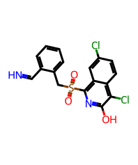 N=Cc1ccccc1CS(=O)(=O)c1nc(O)c(Cl)c2ccc(Cl)cc12